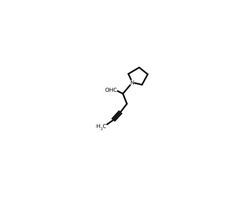 [CH2]C#CCC(C=O)N1CCCC1